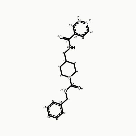 O=C(NCC1CCN(C(=O)OCc2ccccc2)CC1)c1ccnnc1